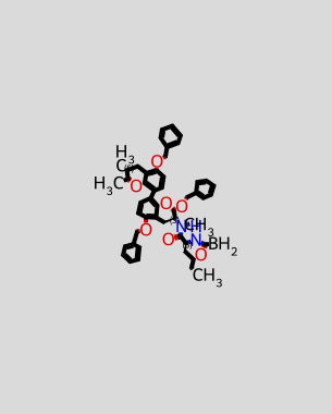 BC(=O)N[C@@H](CCCC)C(=O)N(C)[C@@H](Cc1cc(-c2ccc(OCc3ccccc3)c(C[C@H](C)C(C)=O)c2)ccc1OCc1ccccc1)C(=O)OCc1ccccc1